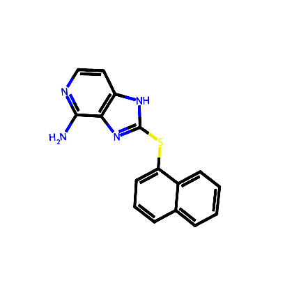 Nc1nccc2[nH]c(Sc3cccc4ccccc34)nc12